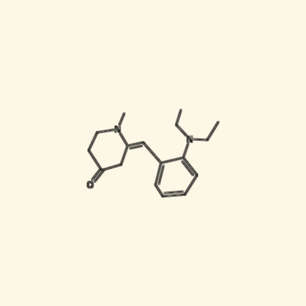 CCN(CC)c1ccccc1/C=C1\CC(=O)CCN1C